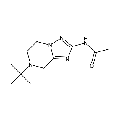 CC(=O)Nc1nc2n(n1)CCN(C(C)(C)C)C2